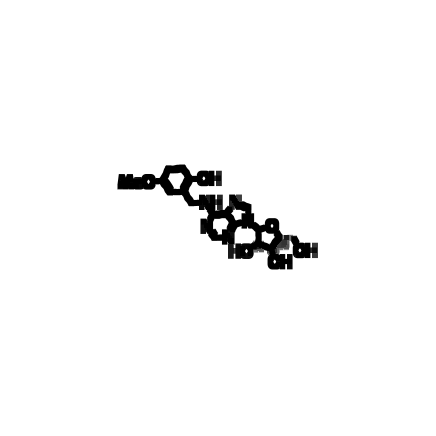 COc1ccc(O)c(CNc2ncnc3c2ncn3C2O[C@H](CO)[C@@H](O)[C@H]2O)c1